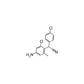 Cc1cc(N)cc(Cl)c1C(C#N)c1ccc(Cl)cc1